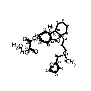 CN(CCC[C@@]12CCCC[C@@H]1c1ccccc1O2)Cc1ccco1.O.O=C(O)C(=O)O